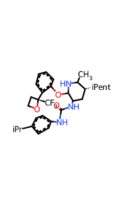 CCC[C@@H](C)C1CC(NC(=O)Nc2ccc(C(C)C)cc2)C(Oc2ccccc2[C@@]2(C(F)(F)F)CCO2)NC1C